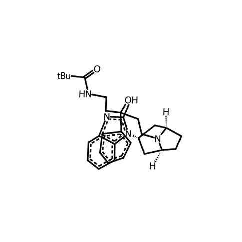 Cc1nc2ccccc2n1[C@@H]1C[C@H]2CC[C@@H](C1)N2CCC(O)(CCNC(=O)C(C)(C)C)c1ccccc1